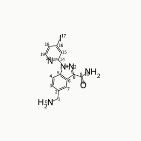 NCc1ccc2c(c1)c(C(N)=O)nn2-c1cc(I)ccn1